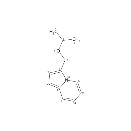 CC(C)OCc1ccc2ccccn12